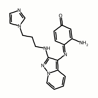 NC1=CC(=O)C=C/C1=N\c1c(NCCCn2ccnc2)nn2ccccc12